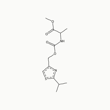 COC(=O)C(C)NC(=O)OCc1csc(C(C)C)n1